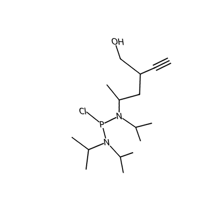 C#CC(CO)CC(C)N(C(C)C)P(Cl)N(C(C)C)C(C)C